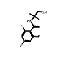 C=C(NC(C)(C)CO)c1c(F)cc(F)cc1F